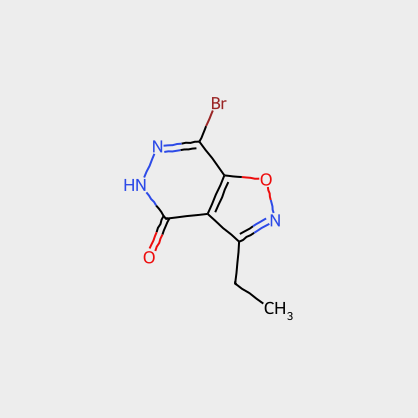 CCc1noc2c(Br)n[nH]c(=O)c12